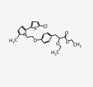 CCOC(=O)C(Cc1ccc(OCCn2c(C)ccc2-c2ccc(Cl)s2)cc1)OCC